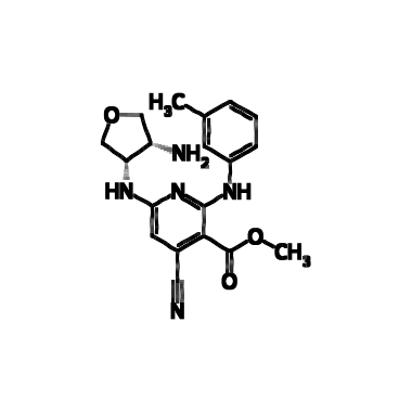 COC(=O)c1c(C#N)cc(N[C@@H]2COC[C@@H]2N)nc1Nc1cccc(C)c1